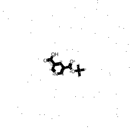 CC(C)(C)OC(=O)c1cncc(C(=O)O)c1